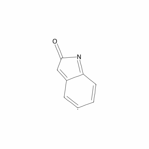 O=C1C=c2c[c]ccc2=N1